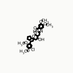 COc1cc(OC)c(CCC2(C3CCCC3)CC(O)=C(Cc3nc4cc(OC)c(OC)cc4c(=O)[nH]3)C(=O)O2)cc1Cl